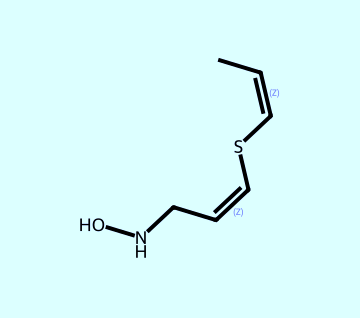 C/C=C\S/C=C\CNO